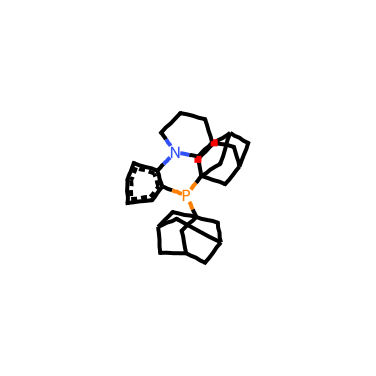 c1ccc(P(C23CC4CC(CC(C4)C2)C3)C23CC4CC(C2)C(C4)C3)c(N2CCCCC2)c1